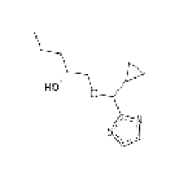 CCC[C@@H](O)COC(c1nccs1)C1CC1